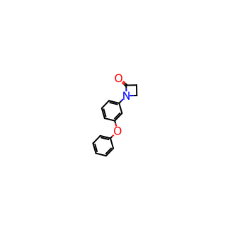 O=C1CCN1c1cccc(Oc2ccccc2)c1